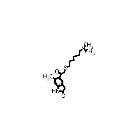 Cc1cc2c(cc1C(=O)CSCCCCCCN(C)C)CC(=O)N2